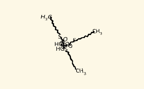 CCCCCCCCCCCCSCCC(=O)OCC(CO)(COC(=O)CCSCCCCCCCCCCCC)C(O)SCCCCCCCCCCCC